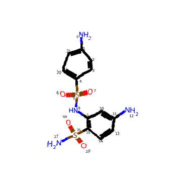 Nc1ccc(S(=O)(=O)Nc2cc(N)ccc2S(N)(=O)=O)cc1